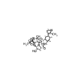 Cc1ncsc1-c1ccc(CNC(=O)[C@@H]2C[C@@H](O)CN2C(=O)[C@@H](NC(=O)C(C)(C)C)C(C)(C)C)cc1